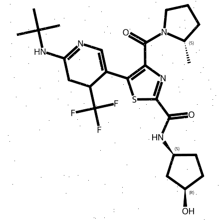 C[C@H]1CCCN1C(=O)c1nc(C(=O)N[C@H]2CC[C@@H](O)C2)sc1C1=CN=C(NC(C)(C)C)CC1C(F)(F)F